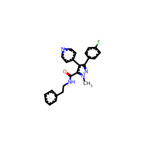 Cn1nc(-c2ccc(F)cc2)c(-c2ccncc2)c1C(=O)NCCc1ccccc1